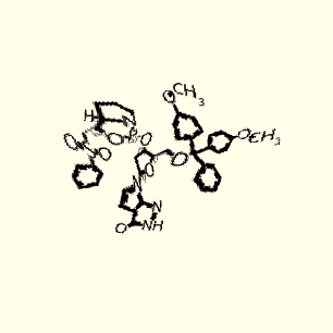 COc1ccc(C(OC[C@H]2O[C@@H](n3ccc4c(=O)[nH]cnc43)C[C@@H]2O[P@]2O[C@H](CS(=O)(=O)c3ccccc3)[C@@H]3CCCN32)(c2ccccc2)c2ccc(OC)cc2)cc1